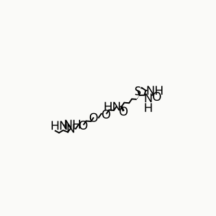 CCC1CN(CCOCCOCCOCCNC(=O)CCCC[C@@H]2SCC3NC(=O)NC32)NN1